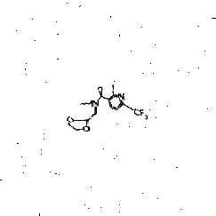 Cc1nc(C(F)(F)F)ccc1C(=O)N(C)CC1OCCO1